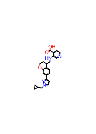 O=C(O)c1ccncc1NCC1CCOc2cc(-c3ccn(CC4CC4)n3)ccc21